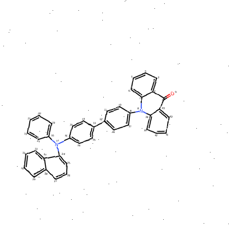 O=c1c2ccccc2n(-c2ccc(-c3ccc(N(c4ccccc4)c4cccc5ccccc45)cc3)cc2)c2ccccc12